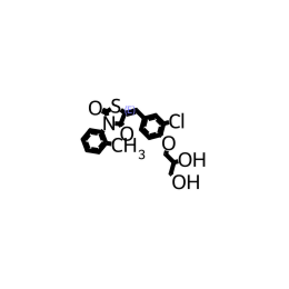 Cc1ccccc1N1C(=O)S/C(=C/c2ccc(OCC(O)CO)c(Cl)c2)C1=O